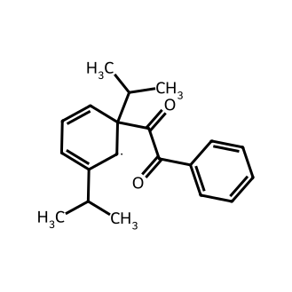 CC(C)C1=CC=CC(C(=O)C(=O)c2ccccc2)(C(C)C)[CH]1